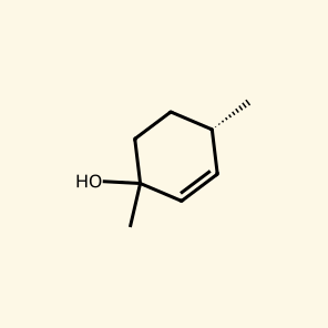 C[C@@H]1C=CC(C)(O)CC1